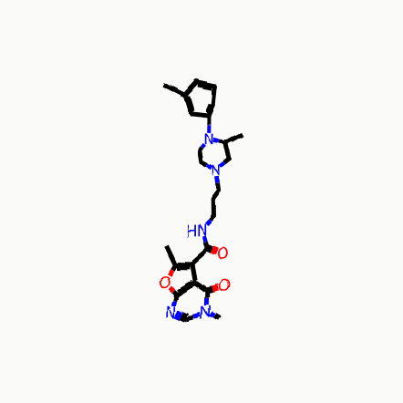 Cc1cccc(N2CCN(CCCNC(=O)c3c(C)oc4ncn(C)c(=O)c34)CC2C)c1